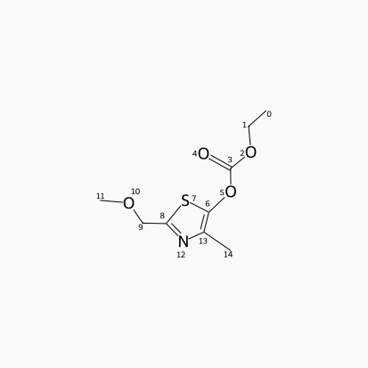 CCOC(=O)Oc1sc(COC)nc1C